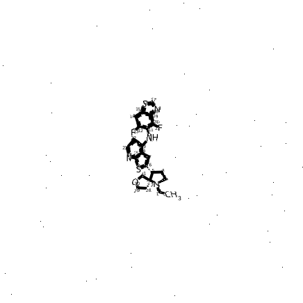 CCN1CC[C@@H](c2cc3c(Nc4c(F)cc5scnc5c4F)ccnc3s2)[C@@]12CCOC2